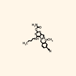 CCCCNc1nc(OC(N)=O)nc2cnn(Cc3ccc(C#N)cc3OC)c12